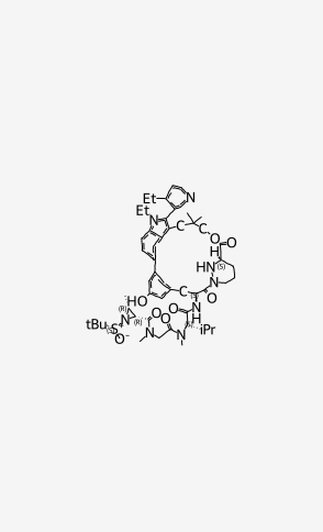 CCc1ccncc1-c1c2c3cc(ccc3n1CC)-c1cc(O)cc(c1)C[C@H](NC(=O)[C@H](C(C)C)N(C)C(=O)CN(C)C(=O)[C@H]1[C@@H](C)N1[S@+]([O-])C(C)(C)C)C(=O)N1CCC[C@H](N1)C(=O)OCC(C)(C)C2